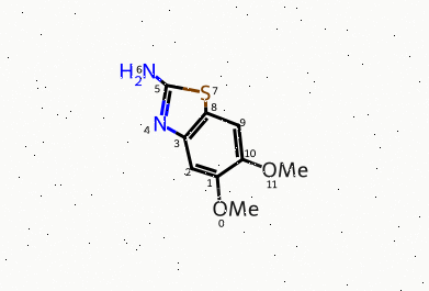 COc1cc2nc(N)sc2cc1OC